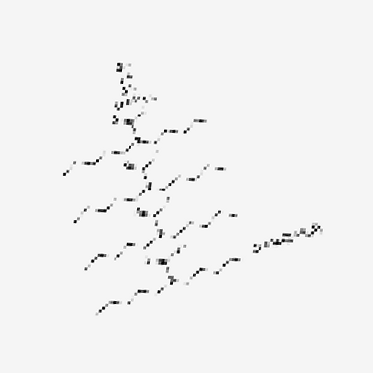 CCCCCN(CCCCC)C(=S)[S-].CCCCCN(CCCCC)C(=S)[S-].CCCCCN(CCCCC)C(=S)[S-].CCCCCN(CCCCC)C(=S)[S-].[O]=[Mo+4].[O]=[Mo+4].[O]=[Mo+4].[S-2].[S-2].[S-2].[S-2]